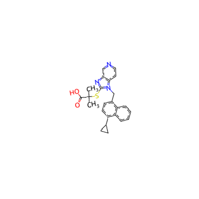 CC(C)(Sc1nc2cnccc2n1Cc1ccc(C2CC2)c2ccccc12)C(=O)O